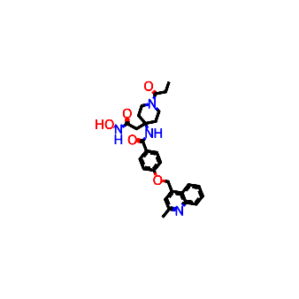 CCC(=O)N1CCC(CC(=O)NO)(NC(=O)c2ccc(OCc3cc(C)nc4ccccc34)cc2)CC1